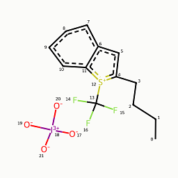 CCCCc1cc2ccccc2[s+]1C(F)(F)F.[O-][I+3]([O-])([O-])[O-]